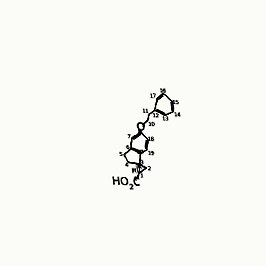 O=C(O)[C@@H]1C[C@]12CCc1cc(OCCc3ccccc3)ccc12